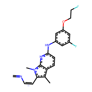 C=N/C=C\c1c(C)c2ccc(Nc3cc(F)cc(OCCF)c3)nc2n1C